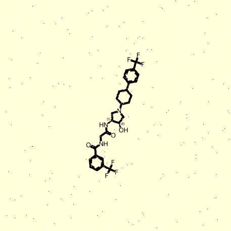 O=C(CNC(=O)c1cccc(C(F)(F)F)c1)N[C@H]1CN(C2CCC(c3ccc(C(F)(F)F)cc3)CC2)C[C@H]1O